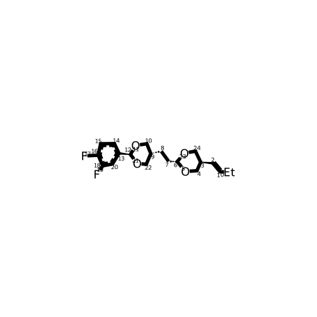 CCC=C[C@H]1CO[C@H](CC[C@H]2CO[C@H](c3ccc(F)c(F)c3)OC2)OC1